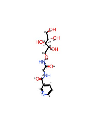 O=C(CNC(=O)c1cccnc1)NOCC(O)[C@@H](O)[C@@H](O)CO